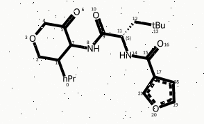 CCCC1COCC(=O)C1NC(=O)[C@H](CC(C)(C)C)NC(=O)c1ccoc1